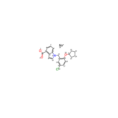 O=C([O-])c1cccc2c1ccn2Cc1cc(Cl)ccc1OC1CCCC1.[Na+]